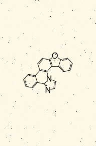 c1ccc2c(c1)oc1ccc3c4ccccc4c4nccn4c3c12